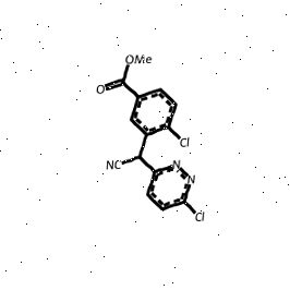 COC(=O)c1ccc(Cl)c(C(C#N)c2ccc(Cl)nn2)c1